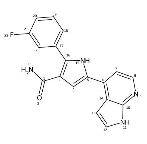 NC(=O)c1cc(-c2ccnc3[nH]ccc23)[nH]c1-c1cccc(F)c1